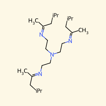 CC(CC(C)C)=NCCN(CCN=C(C)CC(C)C)CCN=C(C)CC(C)C